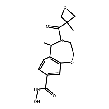 CC1c2ccc(C(=O)NO)cc2OCCN1C(=O)C1(C)COC1